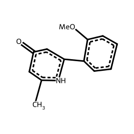 COc1ccccc1-c1cc(=O)cc(C)[nH]1